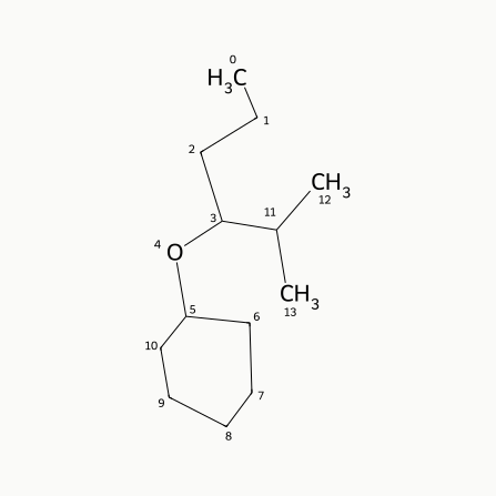 CCCC(OC1CCCCC1)C(C)C